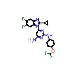 Nc1cc(-n2c(C3CC3)nc3cc(F)c(F)cc32)nc(Nc2ccc(OC(F)F)cc2)n1